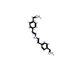 C=Cc1ccc(/C=C/O/C=C/c2ccc(C=C)cc2)cc1